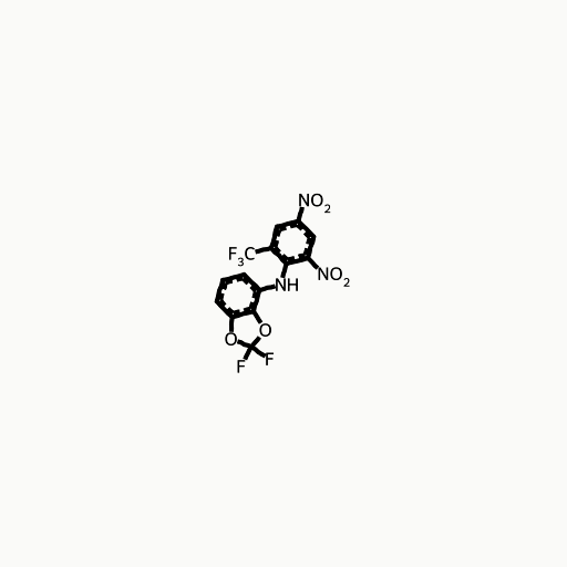 O=[N+]([O-])c1cc([N+](=O)[O-])c(Nc2cccc3c2OC(F)(F)O3)c(C(F)(F)F)c1